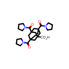 O=C(O)C12CC3(C(=O)N4CCCC4)CC(C(=O)N4CCCC4)(C1)CC(C(=O)N1CCCC1)(C2)C3